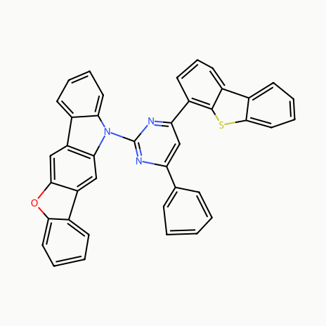 c1ccc(-c2cc(-c3cccc4c3sc3ccccc34)nc(-n3c4ccccc4c4cc5oc6ccccc6c5cc43)n2)cc1